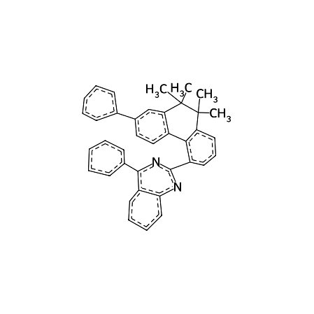 CC1(C)c2cc(-c3ccccc3)ccc2-c2c(-c3nc(-c4ccccc4)c4ccccc4n3)cccc2C1(C)C